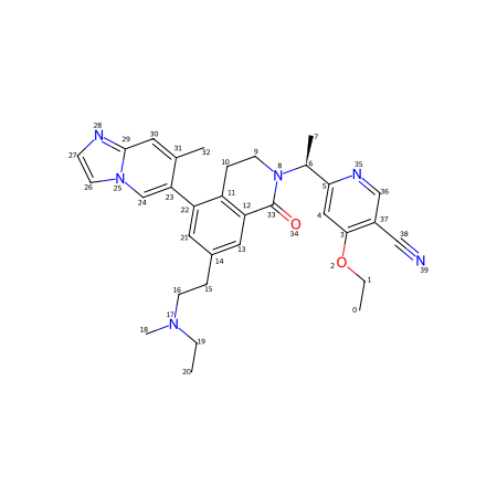 CCOc1cc([C@H](C)N2CCc3c(cc(CCN(C)CC)cc3-c3cn4ccnc4cc3C)C2=O)ncc1C#N